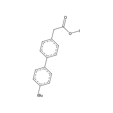 CC(C)(C)c1ccc(-c2ccc(CC(=O)OI)cc2)cc1